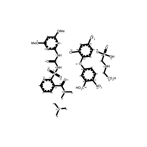 COc1cc(OC)nc(NC(=O)NS(=O)(=O)c2ncccc2C(=O)N(C)C)n1.C[S+](C)C.O=C(O)CNCP(=O)([O-])O.O=C(O)c1cc(Oc2ccc(C(F)(F)F)cc2Cl)ccc1[N+](=O)[O-]